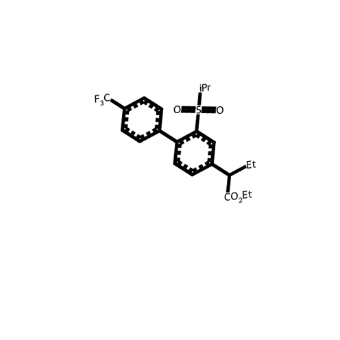 CCOC(=O)C(CC)c1ccc(-c2ccc(C(F)(F)F)cc2)c(S(=O)(=O)C(C)C)c1